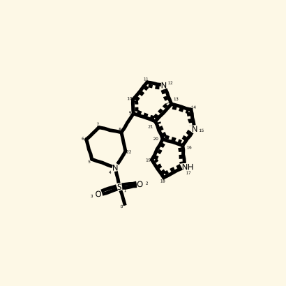 CS(=O)(=O)N1CCCC(c2ccnc3cnc4[nH]ccc4c23)C1